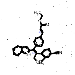 CCOC(=O)/C=C/c1ccc(/C(=C(/CC)c2ccc(C#N)cc2Cl)c2cc3ccccc3[nH]2)cc1